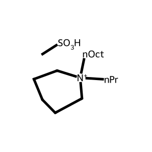 CCCCCCCC[N+]1(CCC)CCCCC1.CS(=O)(=O)O